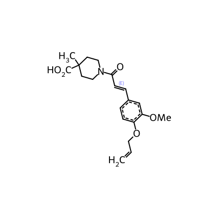 C=CCOc1ccc(/C=C/C(=O)N2CCC(C)(C(=O)O)CC2)cc1OC